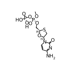 COP(=O)(OC[C@@H]1O[C@H](n2ccc(N)nc2=O)CS1)OP(=O)(O)O